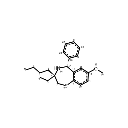 CCCC[C@]1(CC)CSc2ccc(OC)cc2[C@@H](c2ccccc2)N1